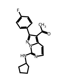 CC(=O)c1c(-c2ccc(F)cc2)nn2c(NC3CCCC3)nccc12